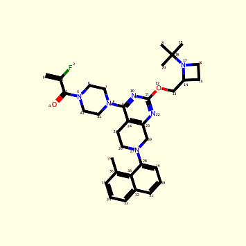 C=C(F)C(=O)N1CCN(c2nc(OCC3CCN3C(C)(C)C)nc3c2CCN(c2cccc4cccc(C)c24)C3)CC1